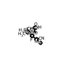 C[C@@H]1CN(c2cc(F)c(-c3cnc(N4CCCC4)c(C#N)c3)cc2NC(=O)c2c[nH]c(=O)cc2C(F)(F)F)C[C@H](C)N1C